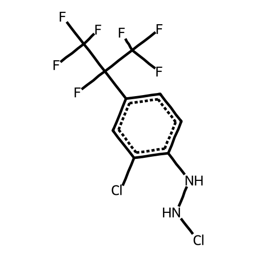 FC(F)(F)C(F)(c1ccc(NNCl)c(Cl)c1)C(F)(F)F